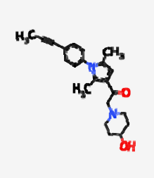 CC#Cc1ccc(-n2c(C)cc(C(=O)CN3CCC(O)CC3)c2C)cc1